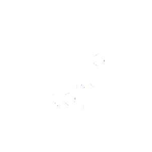 CC(C)(C)c1ccc(CCC(=S)NCc2ccc(NS(C)(=O)=O)cc2Cl)cc1